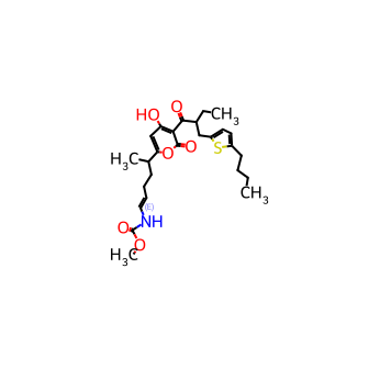 CCCCc1ccc(CC(CC)C(=O)c2c(O)cc(C(C)CC/C=C/NC(=O)OC)oc2=O)s1